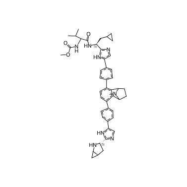 COC(=O)NC(C(=O)N[C@@H](CC1CC1)c1ncc(-c2ccc(-c3ccc(-c4ccc(-c5cnc([C@@H]6CC7CC7N6)[nH]5)cc4)c4c3C3CCC4N3C)cc2)[nH]1)C(C)C